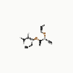 C#CC(S/C=C\C)C(=C)S/C(CC(C)C)=C(\C)C(=C)C